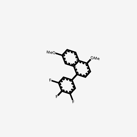 COc1ccc2c(OC)ccc(-c3cc(F)c(F)c(F)c3)c2c1